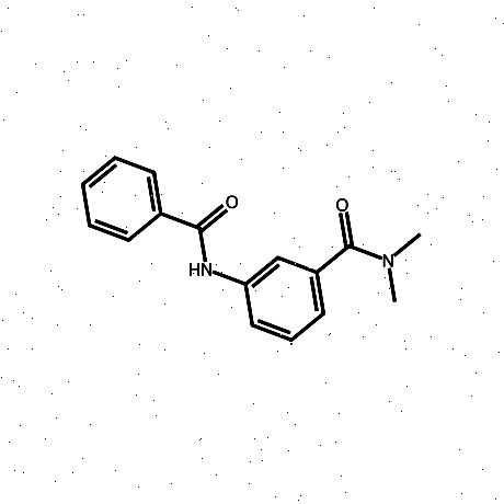 CN(C)C(=O)c1c[c]cc(NC(=O)c2ccccc2)c1